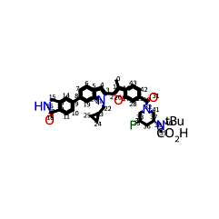 Cc1c(-c2cc3ccc(-c4ccc5c(c4)CNC5=O)cc3n2CC2CC2)oc2cc(C(=O)N3C[C@H](F)C[C@@H](N(C(=O)O)C(C)(C)C)C3)ccc12